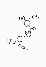 CCc1cc(C(=O)N2CCC(c3ccc(OC)c(OC)c3)=N2)ccc1O